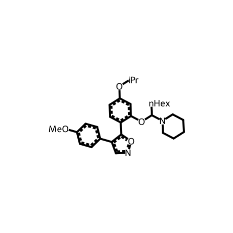 CCCCCCC(Oc1cc(OC(C)C)ccc1-c1oncc1-c1ccc(OC)cc1)N1CCCCC1